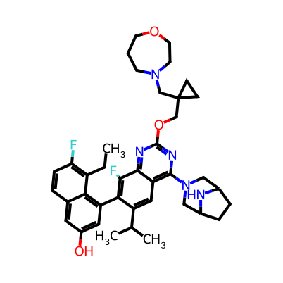 CCc1c(F)ccc2cc(O)cc(-c3c(C(C)C)cc4c(N5CC6CCC(C5)N6)nc(OCC5(CN6CCCOCC6)CC5)nc4c3F)c12